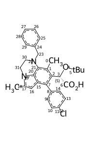 Cc1c([C@H](OC(C)(C)C)C(=O)O)c(-c2ccc(Cl)cc2)c2cc(C)n3c2c1N(Cc1ccccc1)CC3